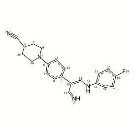 N#CC1CCN(c2ccc(/C(C=N)=C/Nc3ccc(F)cc3)cc2)CC1